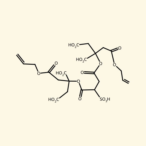 C=CCOC(=O)CC(CC(=O)O)(OC(=O)CC(C(=O)OC(CC(=O)O)(CC(=O)OCC=C)C(=O)O)S(=O)(=O)O)C(=O)O